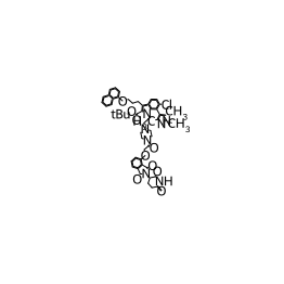 Cc1nn(C)c(C)c1-c1c(Cl)ccc2c(CCCOc3cccc4ccccc34)c(C(=O)OC(C)(C)C)n(CCN3CCN(C(=O)COc4cccc5c4C(=O)N(C4CCC(=O)NC4=O)C5=O)CC3)c12